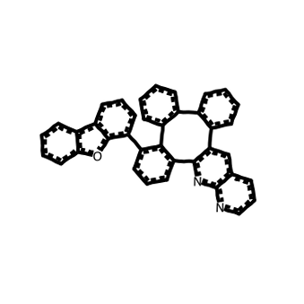 c1ccc2c(c1)-c1ccccc1-c1c(cccc1-c1cccc3c1oc1ccccc13)-c1nc3ncccc3cc1-2